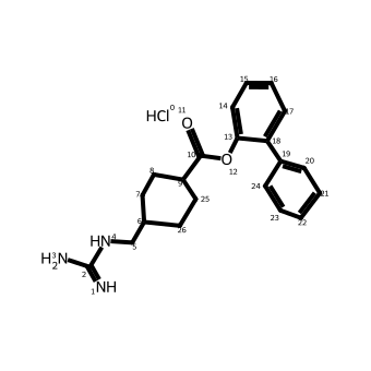 Cl.N=C(N)NCC1CCC(C(=O)Oc2ccccc2-c2ccccc2)CC1